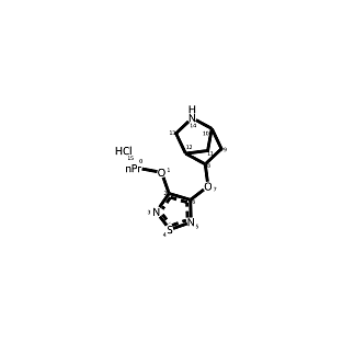 CCCOc1nsnc1OC1CC2CC1CN2.Cl